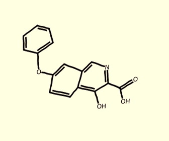 O=C(O)c1ncc2cc(Oc3ccccc3)ccc2c1O